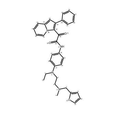 CCN(CCN(C)Cc1ccco1)c1ccc(NC(=O)C(=O)c2c(-c3ccccc3)cc3ccccn23)cc1